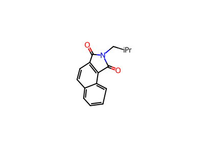 CC(C)CN1C(=O)c2ccc3ccccc3c2C1=O